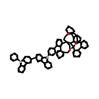 c1ccc(-n2c3ccccc3c3cc(-c4ccc5c(c4)c4ccccc4n5-c4ccc(-c5cccc6c5-c5ccccc5C5CCC67CC6CCCCC8CC(C5)(c5ccccc5-c5ccccc58)C7c5ccccc5-c5ccccc56)cc4)ccc32)cc1